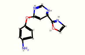 Nc1ccc(Oc2cc(-c3ncco3)ncn2)cc1